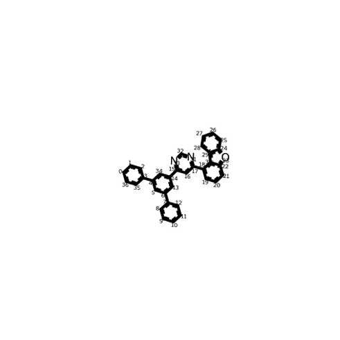 c1ccc(-c2cc(-c3ccccc3)cc(-c3cc(-c4cccc5oc6ccccc6c45)ncn3)c2)cc1